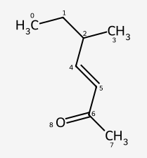 CCC(C)C=CC(C)=O